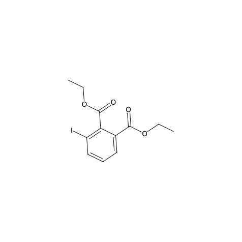 CCOC(=O)c1cccc(I)c1C(=O)OCC